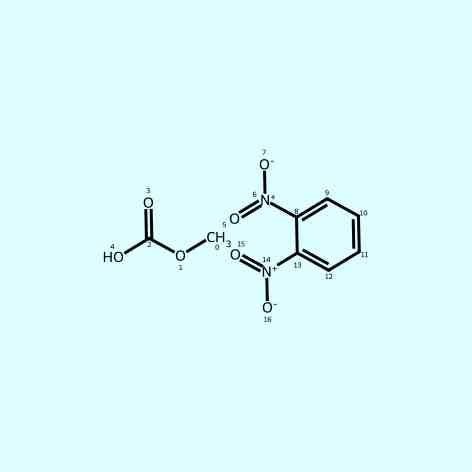 COC(=O)O.O=[N+]([O-])c1ccccc1[N+](=O)[O-]